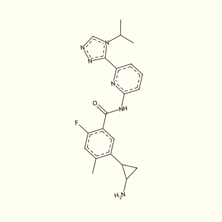 Cc1cc(F)c(C(=O)Nc2cccc(-c3nncn3C(C)C)n2)cc1C1CC1N